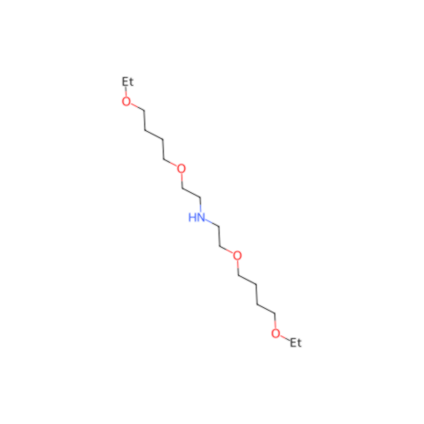 CCOCCCCOCCNCCOCCCCOCC